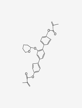 C=C(C)C(=O)Oc1ccc(-c2ccc(-c3ccc(OC(=O)C(=C)C)cc3)c(OC3CCCCO3)c2)cc1